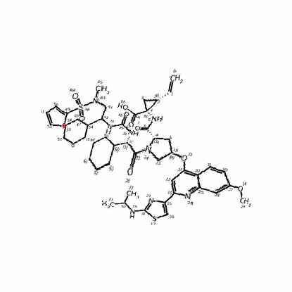 C=C[C@H]1C[C@]1(NC(=O)[C@@H]1C[C@@H](Oc2cc(-c3csc(NC(C)C)n3)nc3cc(OC)ccc23)CN1C(=O)[C@@H](NC(=O)NC(CN(C)S(=O)(=O)c1cccs1)C1CCCCC1)C1CCCCC1)C(=O)O